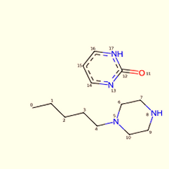 CCCCCN1CCNCC1.O=c1nccc[nH]1